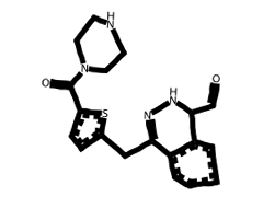 O=CC1NN=C(Cc2ccc(C(=O)N3CCNCC3)s2)c2ccccc21